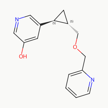 Oc1cncc([C@H]2C[C@@H]2COCc2ccccn2)c1